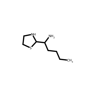 CCCCC(N)C1NCCS1